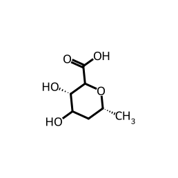 C[C@@H]1CC(O)[C@H](O)C(C(=O)O)O1